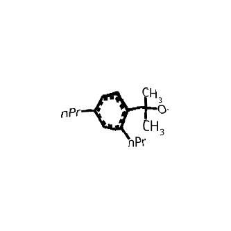 CCCc1ccc(C(C)(C)[O])c(CCC)c1